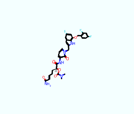 CN(C)C(=O)O[C@@H](CC/C=C/C(N)=O)C(=O)Nc1cccn(Cc2cc3cc(F)cc(OCc4ccc(F)cc4F)c3[nH]2)c1=O